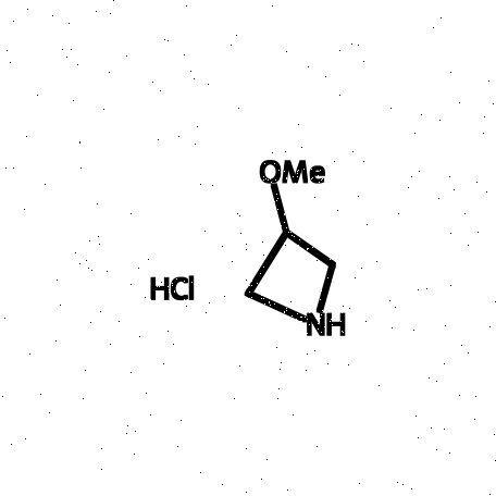 COC1CNC1.Cl